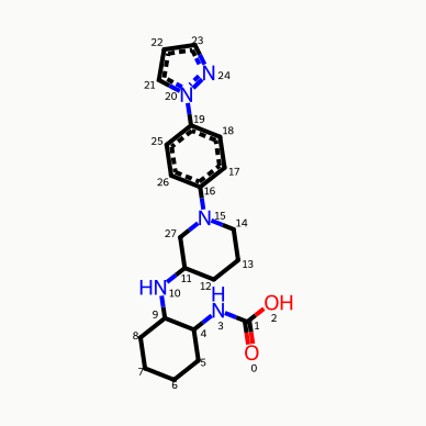 O=C(O)NC1CCCCC1NC1CCCN(c2ccc(-n3cccn3)cc2)C1